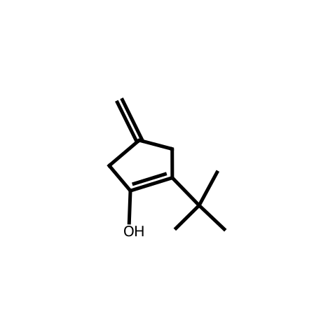 C=C1CC(O)=C(C(C)(C)C)C1